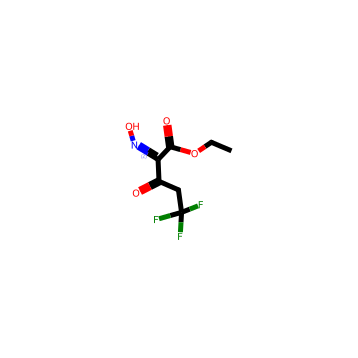 CCOC(=O)/C(=N\O)C(=O)CC(F)(F)F